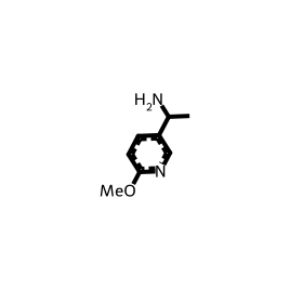 COc1ccc(C(C)N)cn1